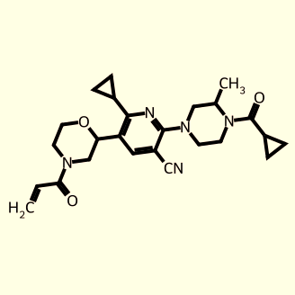 C=CC(=O)N1CCOC(c2cc(C#N)c(N3CCN(C(=O)C4CC4)C(C)C3)nc2C2CC2)C1